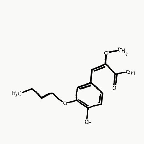 CCCCOc1cc(/C=C(/OC)C(=O)O)ccc1O